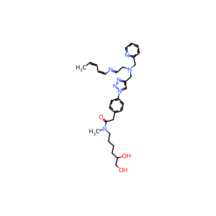 C\C=C/C=C\N=C\CN(Cc1ccccn1)Cc1cn(-c2ccc(CC(=O)N(C)CCCCC(O)CO)cc2)nn1